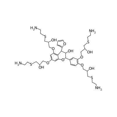 NCCSCC(O)COc1cc(OCC(O)CSCCN)c2c(c1)OC(c1ccc(OCC(O)CSCCN)c(OCC(O)CSCCN)c1)C(O)C2c1ccco1